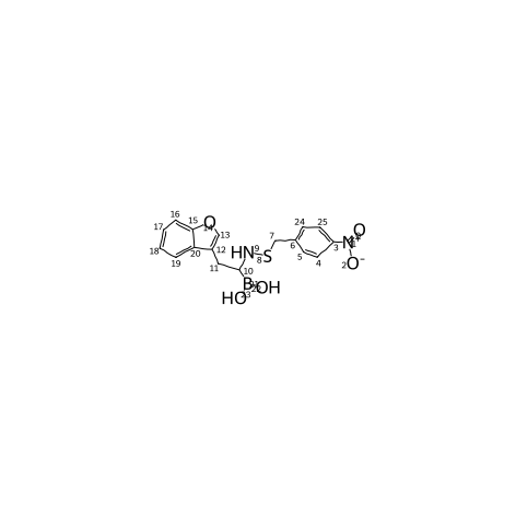 O=[N+]([O-])c1ccc(CSNC(Cc2coc3ccccc23)B(O)O)cc1